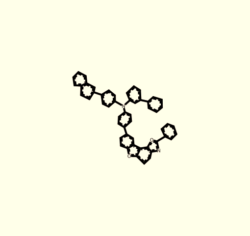 c1ccc(-c2cccc(N(c3ccc(-c4ccc5ccccc5c4)cc3)c3ccc(-c4ccc5oc6ccc7nc(-c8ccccc8)oc7c6c5c4)cc3)c2)cc1